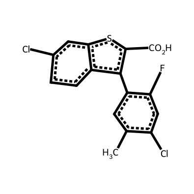 Cc1cc(-c2c(C(=O)O)sc3cc(Cl)ccc23)c(F)cc1Cl